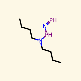 CCCCN(CCCC)PN=P